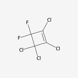 FC1(F)C(Cl)=C(Cl)C1(Cl)Cl